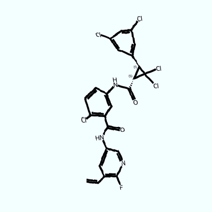 C=Cc1cc(NC(=O)c2cc(NC(=O)[C@@H]3[C@@H](c4cc(Cl)cc(Cl)c4)C3(Cl)Cl)ccc2Cl)cnc1F